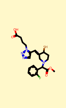 COC(=O)C(c1ccccc1F)N1CCC(S)/C(=C/c2cnnn2CCCC(=O)O)C1